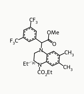 CCOC(=O)N1c2cc(C)c(C)cc2N(C(C(=O)OC)c2cc(C(F)(F)F)cc(C(F)(F)F)c2)C[C@H]1CC